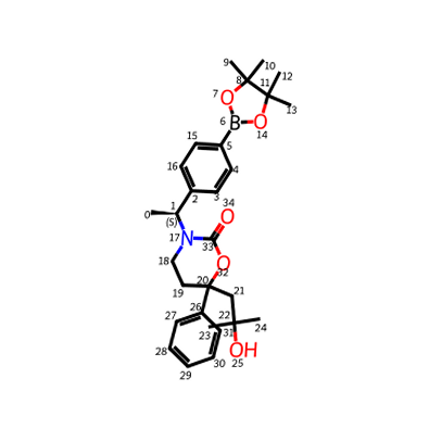 C[C@@H](c1ccc(B2OC(C)(C)C(C)(C)O2)cc1)N1CCC(CC(C)(C)O)(c2ccccc2)OC1=O